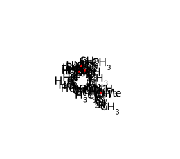 CC[C@H]1OC(=O)[C@H](C)[C@@H](O[C@H]2C[C@@](C)(OC)[C@](O)(CN3CCN(C)CC3)[C@H](C)O2)[C@H](C)[C@@H](O[C@@H]2O[C@H](C)C[C@H](N(C)C(=O)NC(C)(C)C)[C@H]2OC(=O)NC(C)(C)C)[C@](C)(O)C[C@@H](C)CN[C@H](C)[C@@H](O)[C@]1(C)O